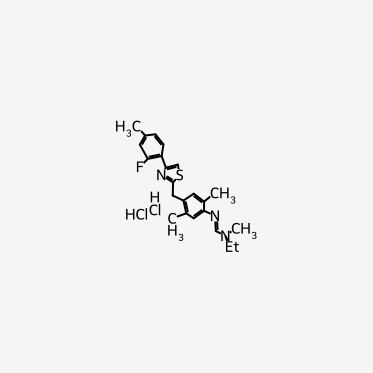 CCN(C)C=Nc1cc(C)c(Cc2nc(-c3ccc(C)cc3F)cs2)cc1C.Cl.Cl